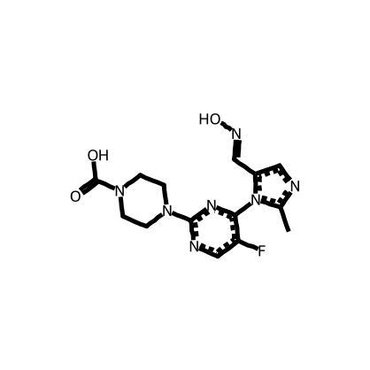 Cc1ncc(C=NO)n1-c1nc(N2CCN(C(=O)O)CC2)ncc1F